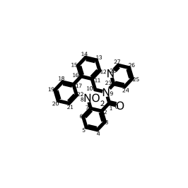 O=C(c1ccccc1[N+](=O)[O-])N(Cc1ccccc1-c1ccccc1)c1ccccn1